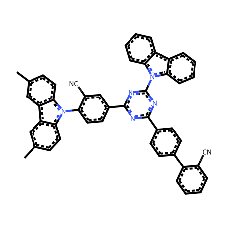 Cc1ccc2c(c1)c1cc(C)ccc1n2-c1ccc(-c2nc(-c3ccc(-c4ccccc4C#N)cc3)nc(-n3c4ccccc4c4ccccc43)n2)cc1C#N